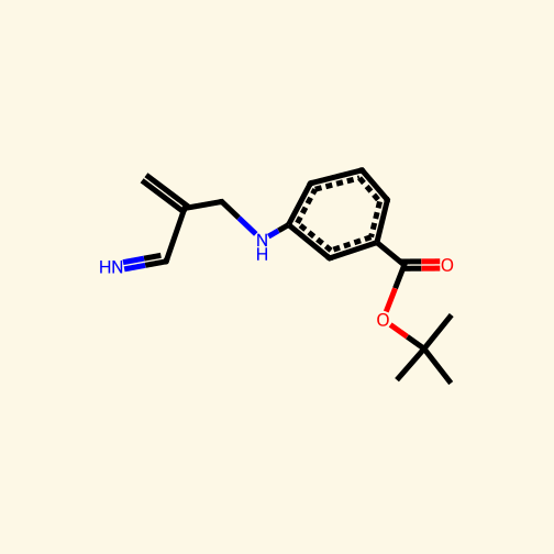 C=C(C=N)CNc1cccc(C(=O)OC(C)(C)C)c1